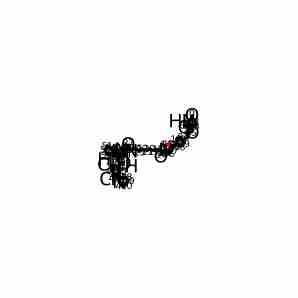 O=C1CCC(OCCc2ccc(C3CCN(C(=O)CCCCCCCNC(=O)c4cc(NC(=O)c5cc(-c6ccccn6)c(Cl)cc5Cl)n(-c5ccccc5)n4)CC3)cc2)C(=O)N1